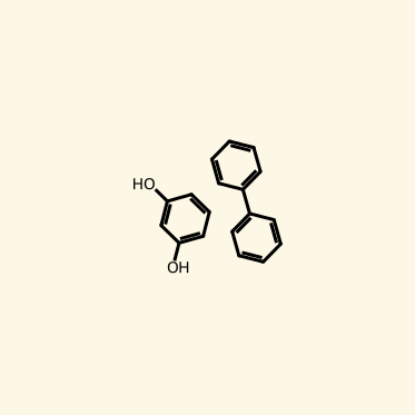 Oc1cccc(O)c1.c1ccc(-c2ccccc2)cc1